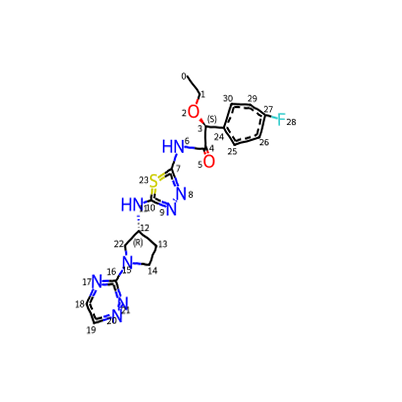 CCO[C@H](C(=O)Nc1nnc(N[C@@H]2CCN(c3nccnn3)C2)s1)c1ccc(F)cc1